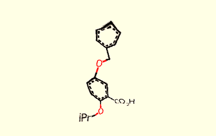 CC(C)Oc1ccc(OCc2ccccc2)cc1C(=O)O